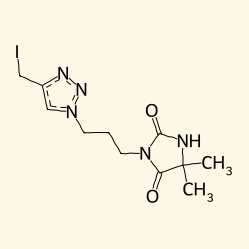 CC1(C)NC(=O)N(CCCn2cc(CI)nn2)C1=O